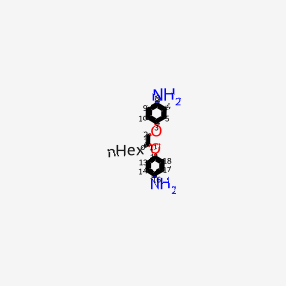 CCCCCCC(COc1ccc(N)cc1)Oc1ccc(N)cc1